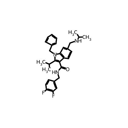 CC(C)NCc1ccc2c(C(=O)NCc3ccc(F)c(F)c3)c(C(C)C)n(Cc3ccccc3)c2c1